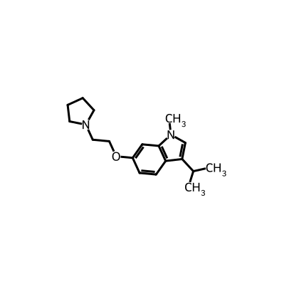 CC(C)c1cn(C)c2cc(OCCN3CCCC3)ccc12